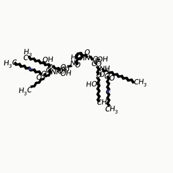 CCCCCC/C=C/CCCC(=O)O[C@H](CCCCCCC)CC(=O)NC(COCC[C@H](O)CCCCCCC)COP(=O)(O)OCCNC(=O)c1cccc(C(=O)NCCOP(=O)(O)OCC(COCC[C@H](O)CCCCCCC)NC(=O)C[C@@H](CCCCCCCCCCC)OC(=O)CCC/C=C/CCCCCC)c1